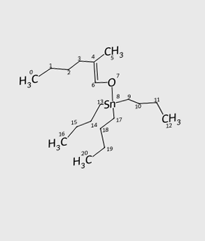 CCCCC(C)=C[O][Sn]([CH2]CCC)([CH2]CCC)[CH2]CCC